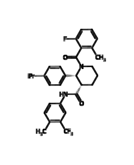 Cc1ccc(NC(=O)[C@H]2CCCN(C(=O)c3c(C)cccc3F)[C@H]2c2ccc(C(C)C)cc2)cc1C(F)(F)F